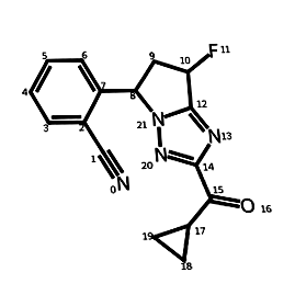 N#Cc1ccccc1C1CC(F)c2nc(C(=O)C3CC3)nn21